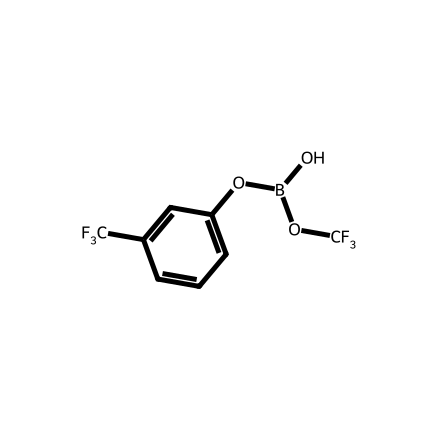 OB(Oc1cccc(C(F)(F)F)c1)OC(F)(F)F